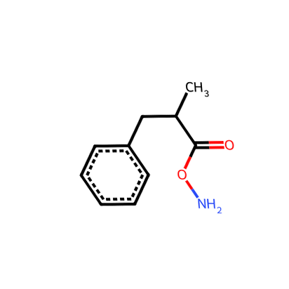 CC(Cc1ccccc1)C(=O)ON